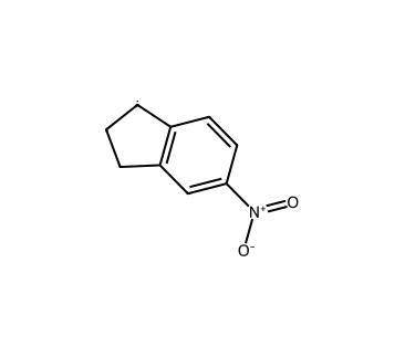 O=[N+]([O-])c1ccc2c(c1)CC[CH]2